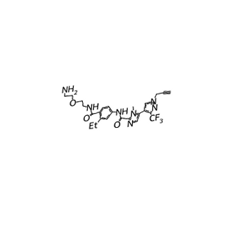 C#CCn1cc(-c2cnc(C(=O)Nc3ccc(C(=O)NCCOCCN)c(CC)c3)n2C)c(C(F)(F)F)n1